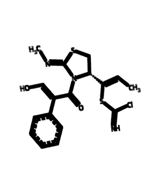 C/C=C(\SC(=N)Cl)[C@H]1CS/C(=N\C)N1C(=O)/C(=C/O)c1ccccc1